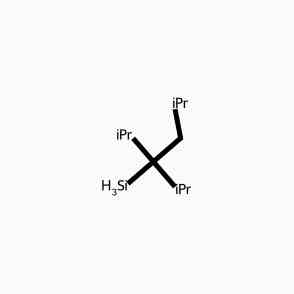 CC(C)CC([SiH3])(C(C)C)C(C)C